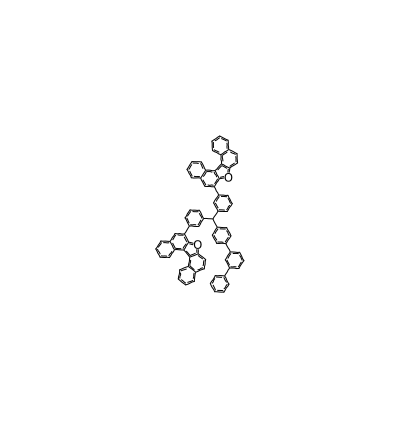 c1ccc(-c2cccc(-c3ccc(C(c4cccc(-c5cc6ccccc6c6c5oc5ccc7ccccc7c56)c4)c4cccc(-c5cc6ccccc6c6c5oc5ccc7ccccc7c56)c4)cc3)c2)cc1